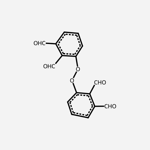 O=Cc1cccc(OOc2cccc(C=O)c2C=O)c1C=O